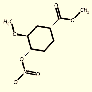 COC(=O)[C@@H]1CC[C@H](O[N+](=O)[O-])[C@@H](OC)C1